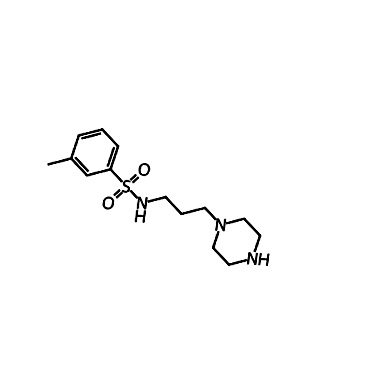 Cc1cccc(S(=O)(=O)NCCCN2CCNCC2)c1